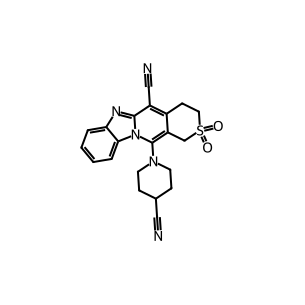 N#Cc1c2c(c(N3CCC(C#N)CC3)n3c1nc1ccccc13)CS(=O)(=O)CC2